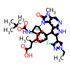 CCn1cc(-c2[nH]c3ncc4c(c3c2-c2ccc(C(C)CC(=O)O)cc2)n([C@@H]2C[C@@H](O)[C@@H](NC(=O)OC(C)(C)C)C2)c(=O)n4C)c(F)n1